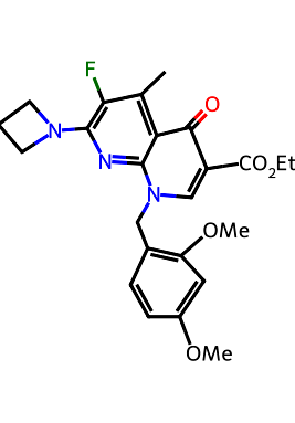 CCOC(=O)c1cn(Cc2ccc(OC)cc2OC)c2nc(N3CCC3)c(F)c(C)c2c1=O